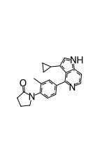 Cc1cc(-c2nccc3[nH]cc(C4CC4)c23)ccc1N1CCCC1=O